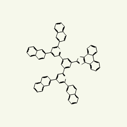 c1ccc2cc(-c3cc(-c4cc(-c5cc(-c6ccc7ccccc7c6)cc(-c6ccc7ccccc7c6)n5)cc(-c5nc6c7ccccc7c7ccccc7c6o5)c4)nc(-c4ccc5ccccc5c4)c3)ccc2c1